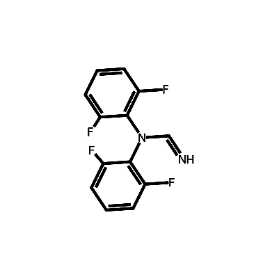 N=CN(c1c(F)cccc1F)c1c(F)cccc1F